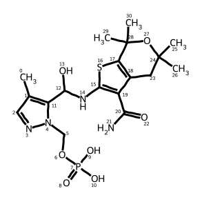 Cc1cnn(COP(=O)(O)O)c1C(O)Nc1sc2c(c1C(N)=O)CC(C)(C)OC2(C)C